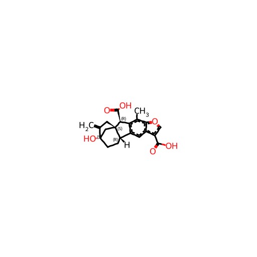 C=C1C[C@]23C[C@@]1(O)CC[C@H]2c1cc2c(C(=O)O)coc2c(C)c1[C@@H]3C(=O)O